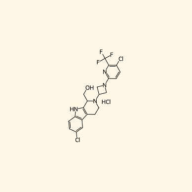 Cl.OCC1c2[nH]c3ccc(Cl)cc3c2CCN1C1CN(c2ccc(Cl)c(C(F)(F)F)n2)C1